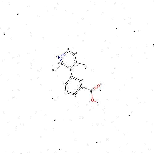 COC(=O)c1cccc(-c2c(C)ccnc2C)c1